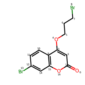 O=c1cc(OCCCBr)c2ccc(Br)cc2o1